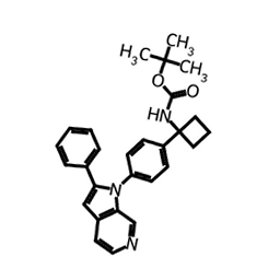 CC(C)(C)OC(=O)NC1(c2ccc(-n3c(-c4ccccc4)cc4ccncc43)cc2)CCC1